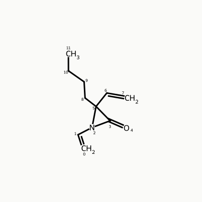 C=CN1C(=O)C1(C=C)CCCC